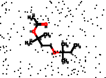 CCC(C)(C)OCCC(C)(C)OC(C)=O